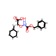 O=C(NO[C@H](CC1CCCCC1)C(=O)O)OCc1ccccc1